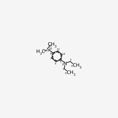 CCN(CC)c1ccc([Si](C)C)cc1